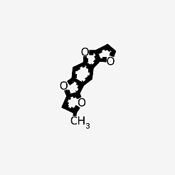 Cc1cc2oc3cc4oc5ccoc5c4cc3c2o1